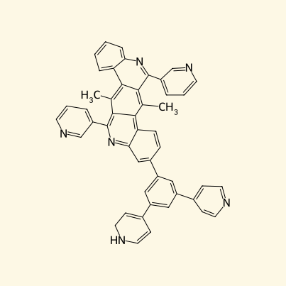 Cc1c2c(-c3cccnc3)nc3cc(-c4cc(C5=CCNC=C5)cc(-c5ccncc5)c4)ccc3c2c(C)c2c(-c3cccnc3)nc3ccccc3c12